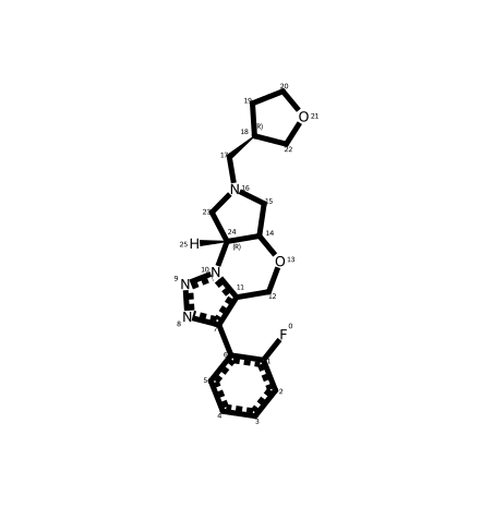 Fc1ccccc1-c1nnn2c1COC1CN(C[C@H]3CCOC3)C[C@H]12